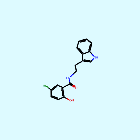 O=C(NCCc1c[nH]c2ccccc12)c1cc(Br)ccc1O